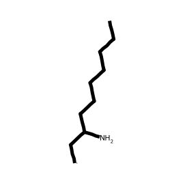 [CH2]CC(N)CCCCCCC